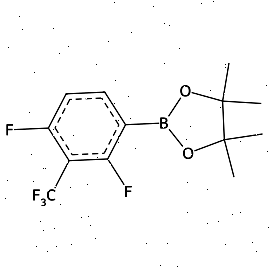 CC1(C)OB(c2ccc(F)c(C(F)(F)F)c2F)OC1(C)C